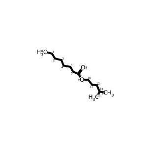 CCCCCCCC(=O)OCCCC(C)C